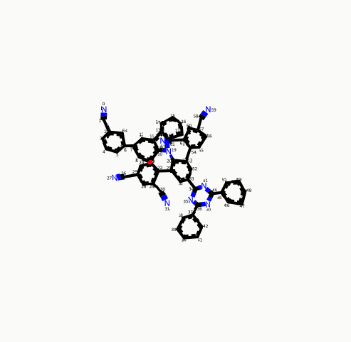 N#Cc1cccc(-c2ccc3c(c2)c2ccccc2n3-c2c(-c3ccc(C#N)cc3C#N)cc(-c3nc(-c4ccccc4)nc(-c4ccccc4)n3)cc2-c2ccc(C#N)cc2C#N)c1